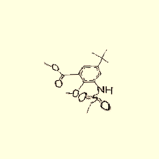 COC(=O)c1cc(C(C)(C)C)cc(NS(C)(=O)=O)c1OC